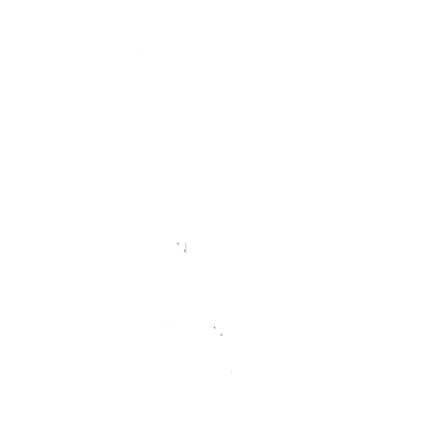 O=CCCc1cccn1-c1ccccc1[N+](=O)[O-]